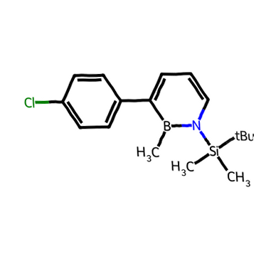 CB1C(c2ccc(Cl)cc2)=CC=CN1[Si](C)(C)C(C)(C)C